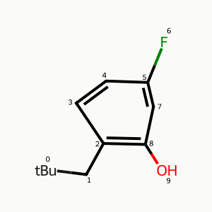 CC(C)(C)Cc1ccc(F)cc1O